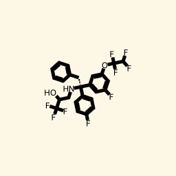 OC(CN[C@](Cc1ccccc1)(c1ccc(F)cc1)c1cc(F)cc(OC(F)(F)C(F)F)c1)C(F)(F)F